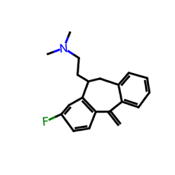 C=C1c2ccccc2CC(CCN(C)C)c2cc(F)ccc21